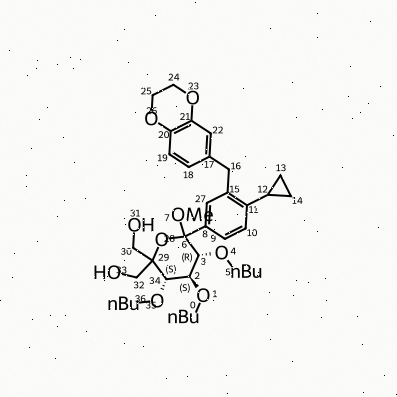 CCCCO[C@@H]1[C@@H](OCCCC)C(OC)(c2ccc(C3CC3)c(Cc3ccc4c(c3)OCCO4)c2)OC(CO)(CO)[C@H]1OCCCC